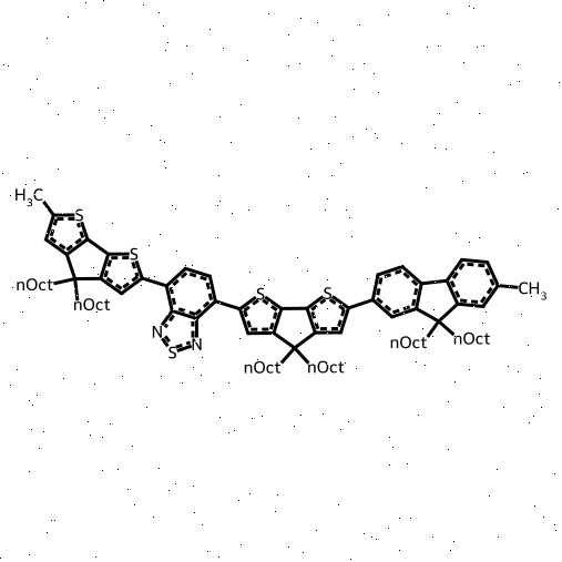 CCCCCCCCC1(CCCCCCCC)c2cc(C)ccc2-c2ccc(-c3cc4c(s3)-c3sc(-c5ccc(-c6cc7c(s6)-c6sc(C)cc6C7(CCCCCCCC)CCCCCCCC)c6nsnc56)cc3C4(CCCCCCCC)CCCCCCCC)cc21